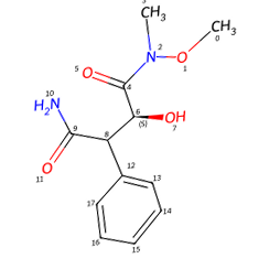 CON(C)C(=O)[C@@H](O)C(C(N)=O)c1ccccc1